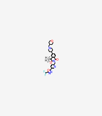 CC1(C)C(=O)N(Cc2ccc(-c3nnc(C(F)F)o3)cn2)C(=O)c2ccc(C3CCN(CC4CCOCC4)CC3)cc21